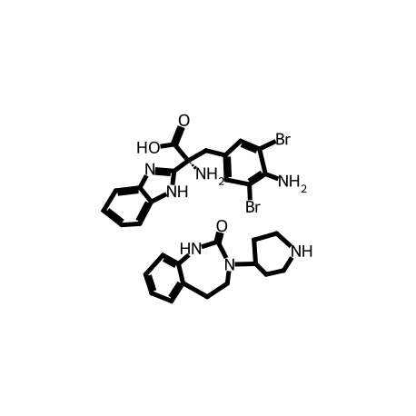 Nc1c(Br)cc(C[C@](N)(C(=O)O)c2nc3ccccc3[nH]2)cc1Br.O=C1Nc2ccccc2CCN1C1CCNCC1